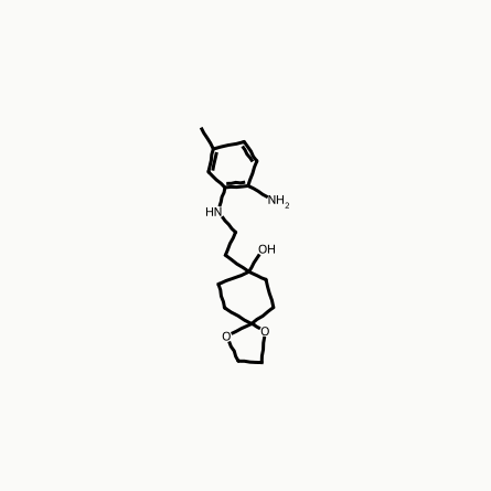 Cc1ccc(N)c(NCCC2(O)CCC3(CC2)OCCO3)c1